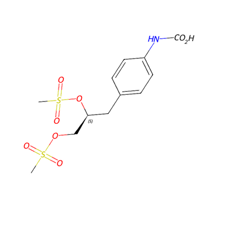 CS(=O)(=O)OC[C@H](Cc1ccc(NC(=O)O)cc1)OS(C)(=O)=O